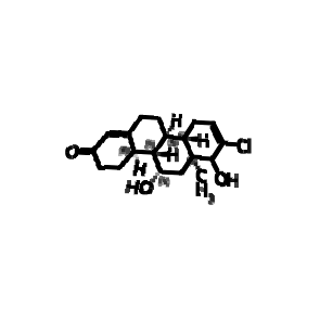 C[C@]12C[C@H](O)[C@H]3[C@@H](CCC4=CC(=O)CC[C@@H]43)[C@@H]1CC=C(Cl)C2O